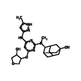 Cc1cc(Nc2cc(OC3COCC3O)nc(N(C)C3C4CC5CC3CC(O)(C5)C4)n2)n[nH]1